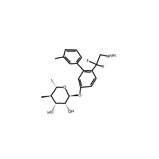 CC(=O)NCC(F)(F)c1ccc(O[C@@H]2O[C@@H](C)[C@H](C)[C@@H](O)[C@H]2O)cc1-c1cccc(C)c1